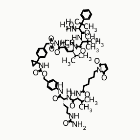 CN[C@H](C(=O)N[C@H](C(=O)N(C)[C@H](/C=C(\C)C(=O)NS(=O)(=O)Cc1ccc(C2(NC(=O)OCc3ccc(NC(=O)[C@@H](CCCNC(N)=O)NC(=O)[C@H](NC(=O)CCCCCN4C(=O)C=CC4=O)C(C)C)cc3)CC2)cc1)C(C)C)C(C)(C)C)C(C)(C)c1ccccc1